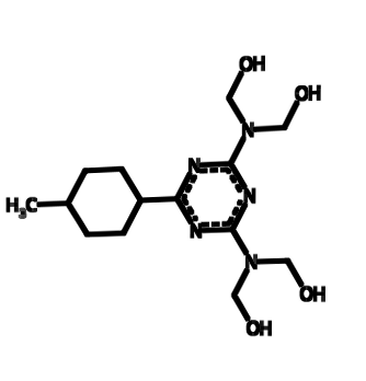 CC1CCC(c2nc(N(CO)CO)nc(N(CO)CO)n2)CC1